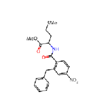 COC(=O)C(CCSC)NC(=O)c1ccc([N+](=O)[O-])cc1Cc1ccccc1